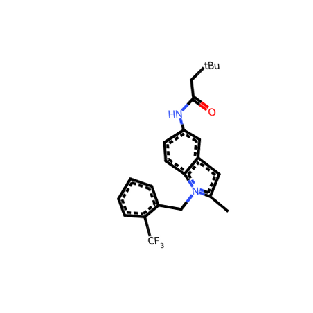 Cc1cc2cc(NC(=O)CC(C)(C)C)ccc2n1Cc1ccccc1C(F)(F)F